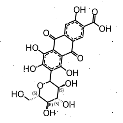 O=C(O)c1cc2c(cc1O)C(=O)c1c(O)c(O)c(C3O[C@@H](CO)[C@H](O)[C@@H](O)[C@@H]3O)c(O)c1C2=O